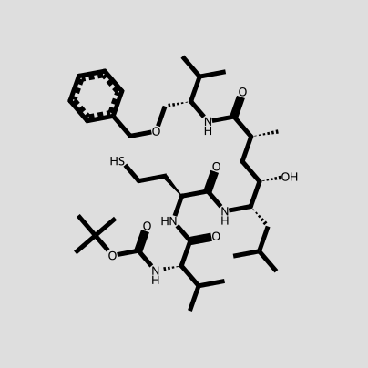 CC(C)C[C@H](NC(=O)[C@H](CCS)NC(=O)[C@@H](NC(=O)OC(C)(C)C)C(C)C)[C@@H](O)C[C@@H](C)C(=O)N[C@H](COCc1ccccc1)C(C)C